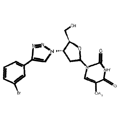 Cc1cn(C2C[C@H](n3cc(-c4cccc(Br)c4)nn3)[C@@H](CO)O2)c(=O)[nH]c1=O